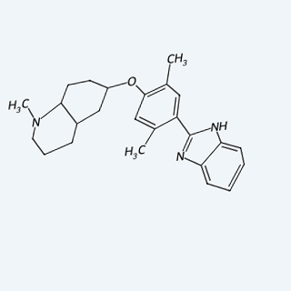 Cc1cc(-c2nc3ccccc3[nH]2)c(C)cc1OC1CCC2C(CCCN2C)C1